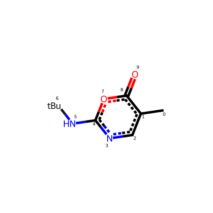 Cc1cnc(NC(C)(C)C)oc1=O